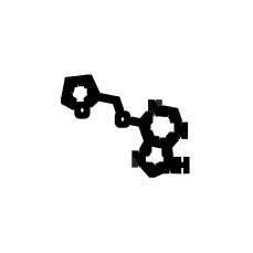 c1coc(COc2ncnc3[nH]cnc23)c1